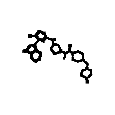 CC(C(=O)N1CCC(CN2CCNCC2)CC1)N1CCC(Nc2ncc(Cl)c(-c3c[nH]c4ccccc34)n2)C1